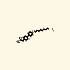 CCCCCCCCCOc1ccc(-c2ccc(CC(=O)O)cc2)cc1